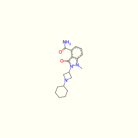 Cn1c2cccc(C(N)=O)c2c(=O)n1C1CN(C2CCCCC2)C1